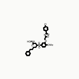 COc1ccc(S(=O)(=O)C(CCCCc2ccccc2)CC(=O)NO)cc1OCc1nc(-c2ccc(Cl)cc2)no1